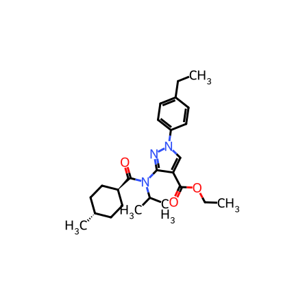 CCOC(=O)c1cn(-c2ccc(CC)cc2)nc1N(C(=O)[C@H]1CC[C@H](C)CC1)C(C)C